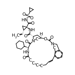 C=C[C@@H]1C[C@]1(NC(=O)[C@@H]1C[C@@H]2CN1C(=O)[C@H](C1CCCCC1)NC(=O)CCCCC/C=C/c1cccc3c1CN(C3)C(=O)O2)C(=O)NS(=O)(=O)C1CC1